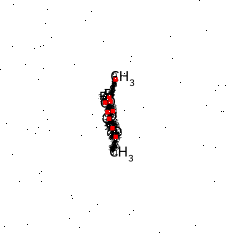 CCCCCCCC[C@@H](OC(=O)c1ccc(OC(=O)c2ccc([C@H]3OC[C@H](CCCCC)CO3)cc2)cc1)C(F)(F)F